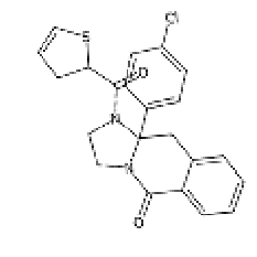 O=C1c2ccccc2CC2(c3ccc(Cl)cc3)N1CCN2C(=O)C1CC=CS1